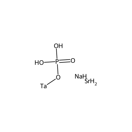 O=P(O)(O)[O][Ta].[NaH].[SrH2]